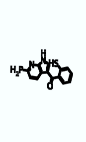 O=C(c1ccccc1S)c1c[nH]c2nc(P)ccc12